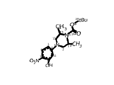 CC1CN(c2ccc([N+](=O)[O-])c(O)c2)CC(C)N1C(=O)OC(C)(C)C